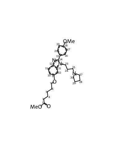 COC(=O)CCCCCOc1ccc2nc(-c3ccc(OC)cc3)n(CCCN3CCCC3)c2c1